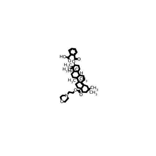 CC1(C)CC[C@]2(C(=O)OCCN3CCOCC3)CC[C@]3(C)C(=C2C1)CC[C@@H]1[C@@]2(C)CC[C@H](OC(=O)c4ccccc4C(=O)O)C(C)(C)[C@@H]2CC[C@]13C